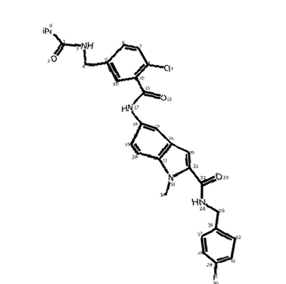 CC(C)C(=O)NCc1ccc(Cl)c(C(=O)Nc2ccc3c(c2)cc(C(=O)NCc2ccc(F)cc2)n3C)c1